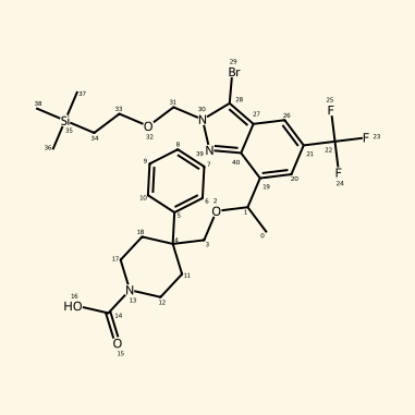 CC(OCC1(c2ccccc2)CCN(C(=O)O)CC1)c1cc(C(F)(F)F)cc2c(Br)n(COCC[Si](C)(C)C)nc12